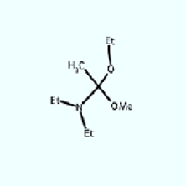 CCOC(C)(OC)N(CC)CC